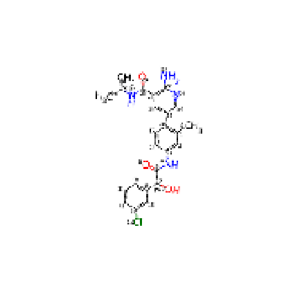 Cc1cc(NC(=O)[C@@H](O)c2cccc(Cl)c2)ccc1-c1cnc(N)c(C(=O)NC(C)C)c1